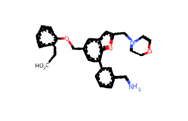 NCc1cccc(-c2cc(COc3ccccc3CC(=O)O)cc3cc(CN4CCOCC4)oc23)c1